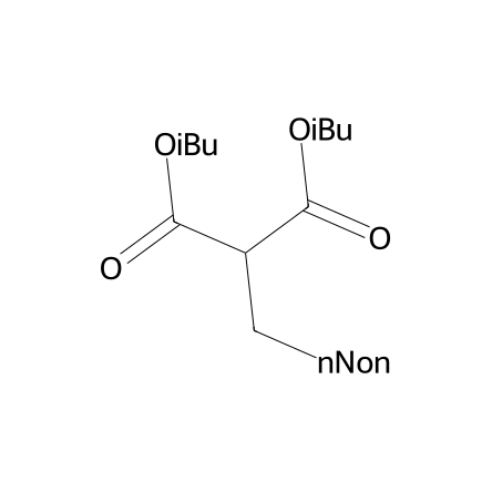 CCCCCCCCCCC(C(=O)OCC(C)C)C(=O)OCC(C)C